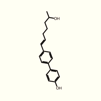 CC(O)CCC/C=C/c1ccc(-c2ccc(O)cc2)cc1